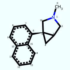 CN1CC2C[C@]2(c2cccc3ccccc23)C1